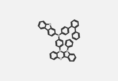 c1ccc(-c2ccccc2-c2ccc(N(c3ccc(N4c5ccccc5Oc5c4n(-c4ccccc4)c4ccccc54)cc3)c3ccc4c(c3)oc3ccccc34)cc2)cc1